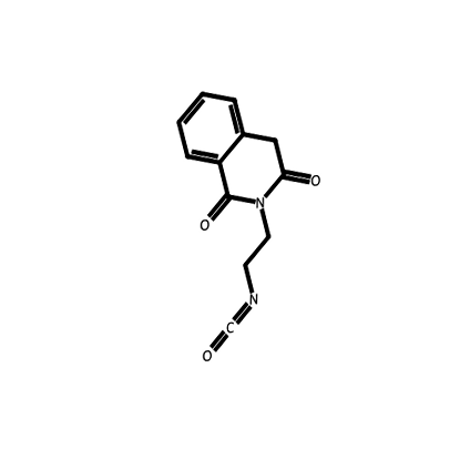 O=C=NCCN1C(=O)Cc2ccccc2C1=O